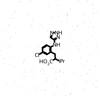 CC(C)C(Cc1cc(Cl)ccc1Nc1cn[nH]n1)C(=O)O